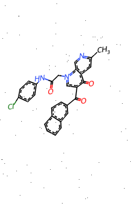 Cc1cc2c(=O)c(C(=O)c3ccc4ccccc4c3)cn(CC(=O)Nc3ccc(Cl)cc3)c2cn1